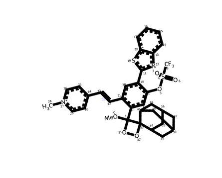 COC1(c2cc(OS(=O)(=O)C(F)(F)F)c(-c3nc4ccccc4s3)cc2/C=C/c2cc[n+](C)cc2)OOC12C1CC3CC(C1)CC2C3